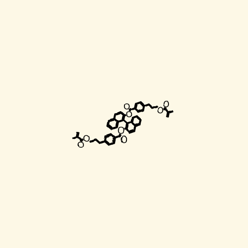 C=C(C)C(=O)OCCCc1ccc(C(=O)Oc2ccc3ccccc3c2-c2c(OC(=O)c3ccc(CCCOC(=O)C(=C)C)cc3)ccc3ccccc23)cc1